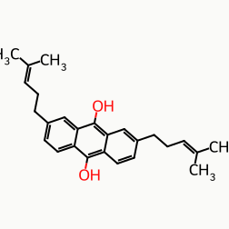 CC(C)=CCCc1ccc2c(O)c3ccc(CCC=C(C)C)cc3c(O)c2c1